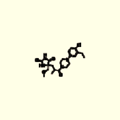 CCc1cc(N2CCN(C(=O)C(C)CC3(COC)NC(=O)NC3=O)CC2)ccc1Cl